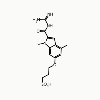 Cc1cc(OCCCS(=O)(=O)O)cc2c1cc(C(=O)NC(=N)N)n2C